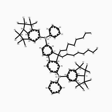 CCCCCCCCC1(CCCCCCCC)c2cc(N(c3ccccc3)c3cc4c5c(c3)C(C)(C)C(C)(C)C5C(C)(C)C4(C)C)ccc2-c2ccc(N(c3ccccc3)c3cc4c5c(c3)C(C)(C)C(C)(C)C5C(C)(C)C4(C)C)cc21